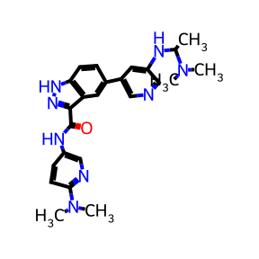 CC(Nc1cncc(-c2ccc3[nH]nc(C(=O)Nc4ccc(N(C)C)nc4)c3c2)c1)N(C)C